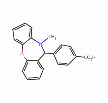 CN1c2ccccc2Oc2ccccc2C1c1ccc(C(=O)O)cc1